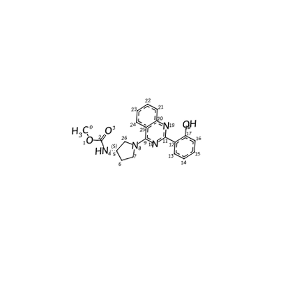 COC(=O)N[C@H]1CCN(c2nc(-c3ccccc3O)nc3ccccc23)C1